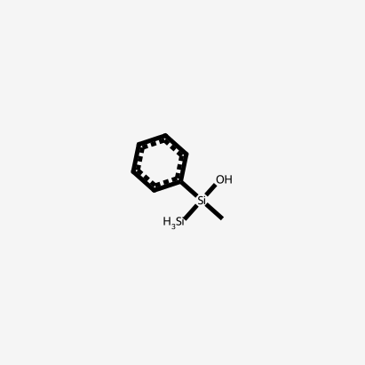 C[Si](O)([SiH3])c1ccccc1